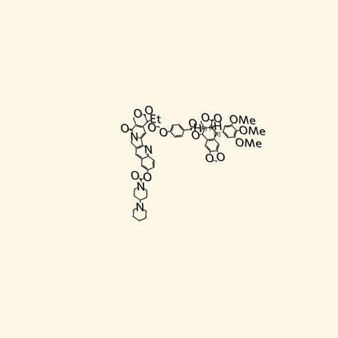 CCC1(OCOc2ccc(C(=O)OC3c4cc5c(cc4[C@@H](c4cc(OC)c(OC)c(OC)c4)[C@H]4C(=O)OC[C@H]34)OCO5)cc2)C(=O)OCc2c1cc1n(c2=O)Cc2cc3cc(OC(=O)N4CCC(N5CCCCC5)CC4)ccc3nc2-1